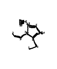 B.CCc1nccn1CC